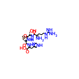 N=C(N)NCCC[C@H](N)C(=O)N[C@@H](CO)C(=O)N[C@@H](CS)C(=O)N[C@@H](Cc1c[nH]cn1)C(=O)O